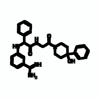 N=C(N)c1cccc(NC(C(=O)NCC(=O)N2CCC(O)(c3ccccc3)CC2)c2ccccc2)c1